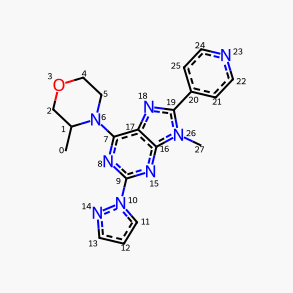 CC1COCCN1c1nc(-n2cccn2)nc2c1nc(-c1ccncc1)n2C